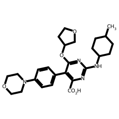 CC1CCC(Nc2nc(OC3CCOC3)c(-c3ccc(N4CCOCC4)cc3)c(C(=O)O)n2)CC1